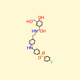 O=S(=O)(c1ccc(F)cc1)c1ccc(Nc2ccc(CCNC(O)c3ccc(O)c(CO)c3)cc2)cc1